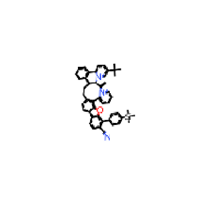 C=C1C2C(CCc3ccc4c(oc5c(-c6ccc([Si](C)(C)C)cc6)c(C#N)ccc54)c3-c3cccc[n+]31)c1ccccc1-c1ccc(C(C)(C)C)c[n+]12